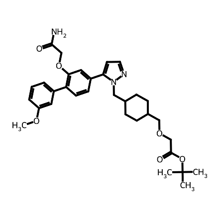 COc1cccc(-c2ccc(-c3ccnn3CC3CCC(COCC(=O)OC(C)(C)C)CC3)cc2OCC(N)=O)c1